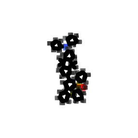 CC1(C)c2ccc(N(c3ccccc3)c3ccccc3)cc2C(C)(C)c2ccc(-c3cc(P(=O)(c4ccccc4)c4ccccc4)c4sc5ccccc5c4c3)cc21